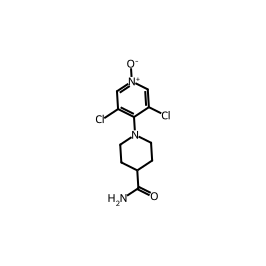 NC(=O)C1CCN(c2c(Cl)c[n+]([O-])cc2Cl)CC1